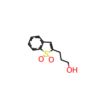 O=S1(=O)C(CCCO)=Cc2ccccc21